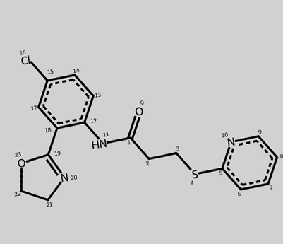 O=C(CCSc1ccccn1)Nc1ccc(Cl)cc1C1=NCCO1